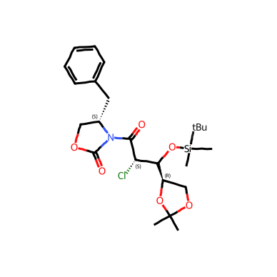 CC1(C)OC[C@H](C(O[Si](C)(C)C(C)(C)C)[C@H](Cl)C(=O)N2C(=O)OC[C@@H]2Cc2ccccc2)O1